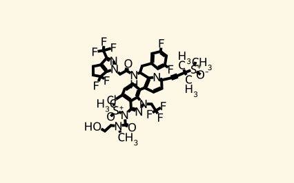 CN(CCO)C(=O)N(c1nn(CC(F)(F)F)c2c(-c3ccc(C#CC(C)(C)[S+](C)[O-])nc3C(Cc3cc(F)cc(F)c3)NC(=O)Cn3nc(C(F)(F)F)c4c3C(F)(F)CC4)ccc(Cl)c12)[S+](C)[O-]